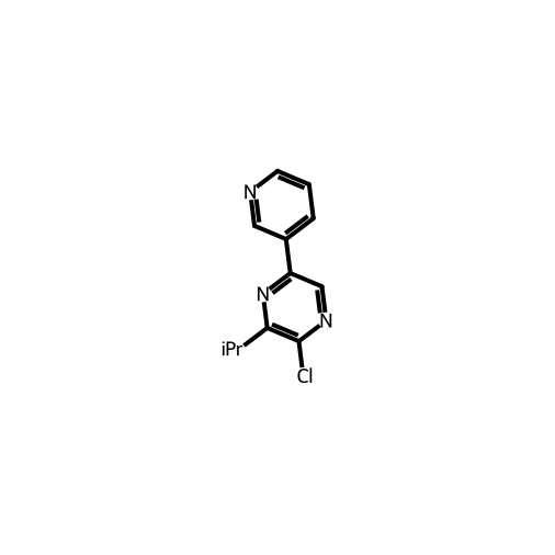 CC(C)c1nc(-c2cccnc2)cnc1Cl